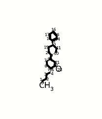 CCCCC[C@@H]1CC[C@@H]([C@H]2CC[C@H](c3ccccc3)CC2)CC1=O